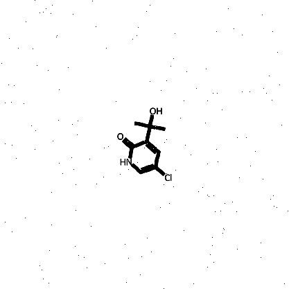 CC(C)(O)c1cc(Cl)c[nH]c1=O